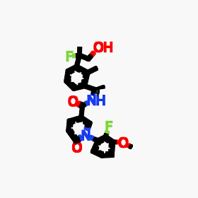 COc1cccc(-n2cc(C(=O)N[C@H](C)c3cccc(C(C)(F)CO)c3C)ccc2=O)c1F